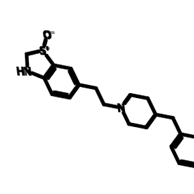 [O-][S+]1CNc2ccc(CCN3CCC(Cc4ccccc4)CC3)cc21